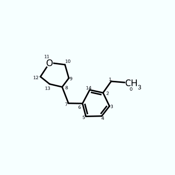 CCc1cccc(CC2CCOCC2)c1